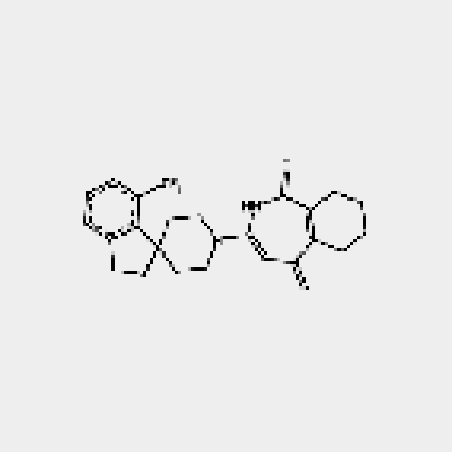 C=C1C=C(N2CCC3(CCc4cccc(C(F)(F)F)c43)CC2)NC(=O)C2=C1CCCC2